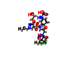 CCn1cc(S(=O)(=O)N2C[C@H](CNC(=O)C(C)(O)C(F)(F)F)Oc3ccc(NC(=O)O)cc32)c(OCCO)n1